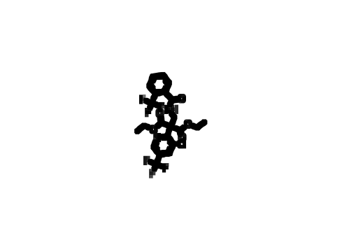 CCOC(=O)C(CNC(=O)c1ccccc1C(F)(F)F)(C(=O)OCC)c1ncc(C(F)(F)F)cc1Cl